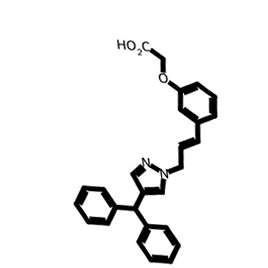 O=C(O)COc1cccc(/C=C/Cn2cc(C(c3ccccc3)c3ccccc3)cn2)c1